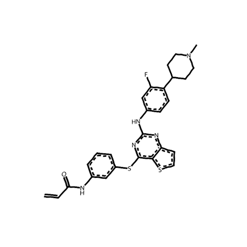 C=CC(=O)Nc1cccc(Sc2nc(Nc3ccc(C4CCN(C)CC4)c(F)c3)nc3ccsc23)c1